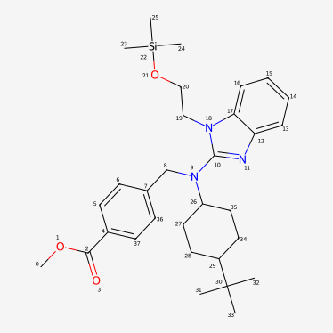 COC(=O)c1ccc(CN(c2nc3ccccc3n2CCO[Si](C)(C)C)C2CCC(C(C)(C)C)CC2)cc1